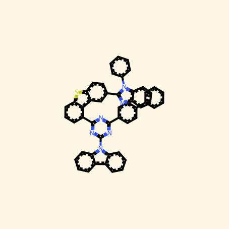 c1ccc(-c2ccc(-c3nc(-c4cccc5sc6ccc(-c7nc8ccccc8n7-c7ccccc7)cc6c45)nc(-n4c5ccccc5c5ccccc54)n3)cc2)cc1